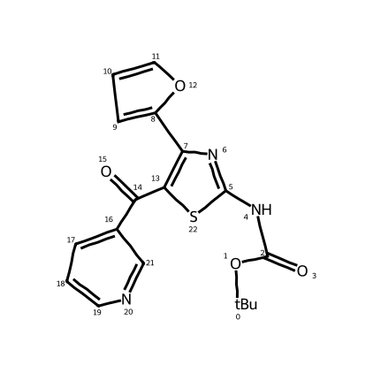 CC(C)(C)OC(=O)Nc1nc(-c2ccco2)c(C(=O)c2cccnc2)s1